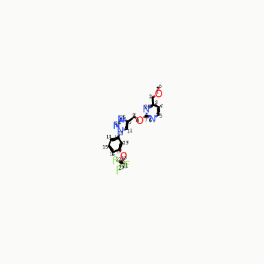 COCc1ccnc(OCc2cn(-c3cccc(OC(F)(F)F)c3)nn2)n1